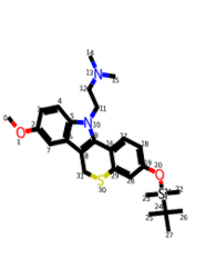 COc1ccc2c(c1)c1c(n2CCN(C)C)-c2ccc(O[Si](C)(C)C(C)(C)C)cc2SC1